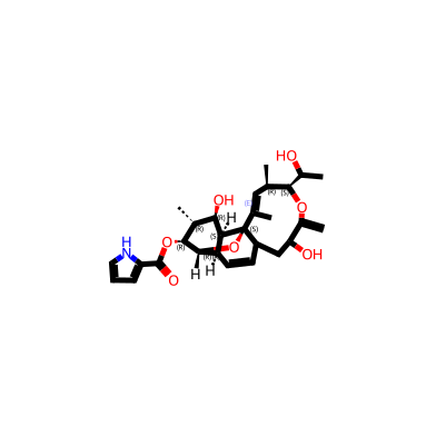 C=C1O[C@H](C(C)O)[C@H](C)/C=C(\C)[C@]23O[C@@H]4[C@H](C=CC2CC1O)[C@H]3[C@H](O)[C@@H](C)[C@H]4OC(=O)c1ccc[nH]1